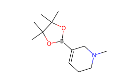 CN1CCC=C(B2OC(C)(C)C(C)(C)O2)C1